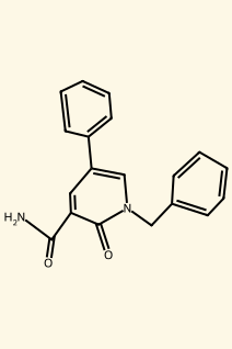 NC(=O)c1cc(-c2ccccc2)cn(Cc2ccccc2)c1=O